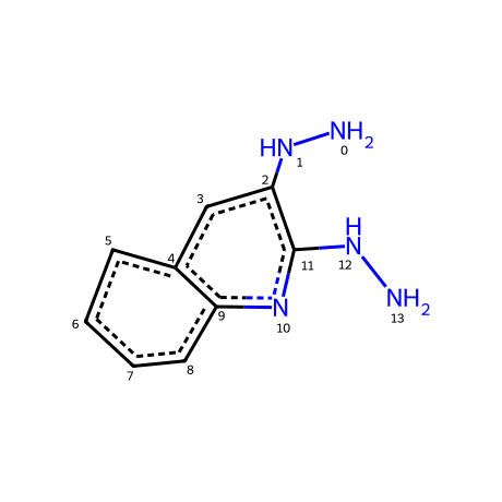 NNc1cc2ccccc2nc1NN